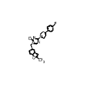 O=c1nc(N2CC=C(c3ccc(F)cc3)CC2)ncn1Cc1ccc2oc(C(F)(F)F)cc2c1